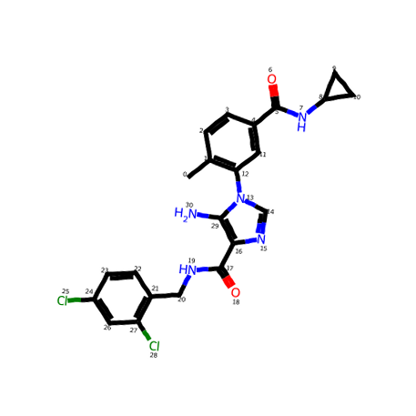 Cc1ccc(C(=O)NC2CC2)cc1-n1cnc(C(=O)NCc2ccc(Cl)cc2Cl)c1N